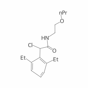 CCCOCCNC(=O)C(Cl)c1c(CC)cccc1CC